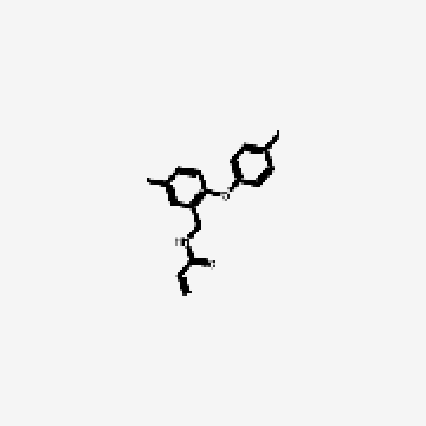 C=CC(=O)NCc1cc(C)ccc1Oc1ccc(I)cc1